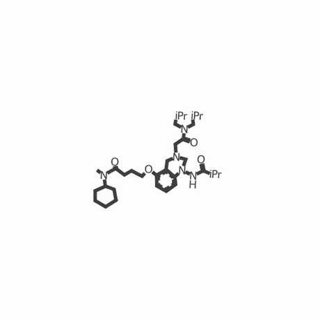 CC(C)CN(CC(C)C)C(=O)CN1Cc2c(OCCCC(=O)N(C)C3CCCCC3)cccc2N(NC(=O)C(C)C)C1